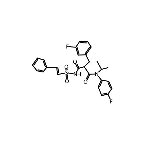 CC(C)N(C(=O)C(Cc1cccc(F)c1)C(=O)NS(=O)(=O)C=Cc1ccccc1)c1ccc(F)cc1